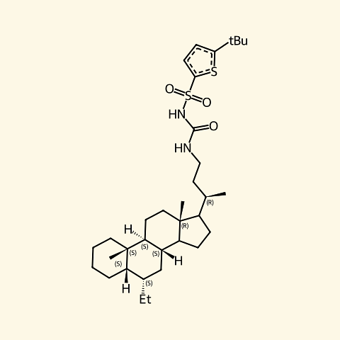 CC[C@H]1C[C@H]2C3CCC([C@H](C)CCNC(=O)NS(=O)(=O)c4ccc(C(C)(C)C)s4)[C@@]3(C)CC[C@@H]2[C@@]2(C)CCCC[C@@H]12